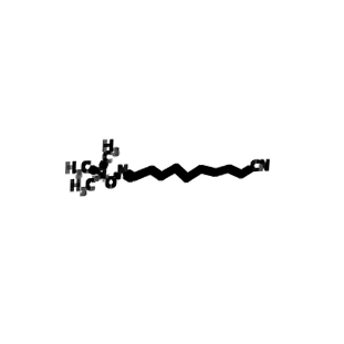 C[Si](C)(C)ON=CCCCCCCCCC#N